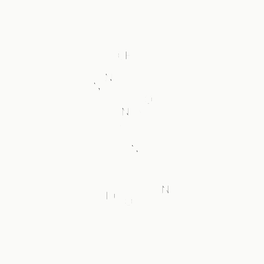 CCOc1cc(-c2cc(C)c3c(n2)C(C)(C)N(c2cnn(CC(F)(F)F)c2)C3=O)cnc1C